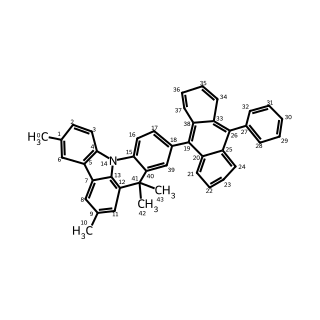 Cc1ccc2c(c1)c1cc(C)cc3c1n2-c1ccc(-c2c4ccccc4c(-c4ccccc4)c4ccccc24)cc1C3(C)C